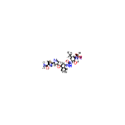 COc1c(NC(=O)Nc2ccc(Oc3ccnc(-c4nc(C(=O)N(C)C)cs4)c3)c3ccccc23)cc(C(C)(C)C)cc1NS(C)(=O)=O